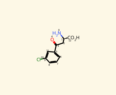 N[C@H](CC(=O)c1cccc(Cl)c1)C(=O)O